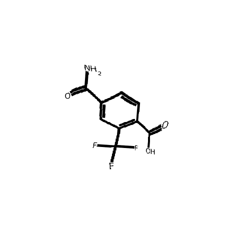 NC(=O)c1ccc(C(=O)O)c(C(F)(F)F)c1